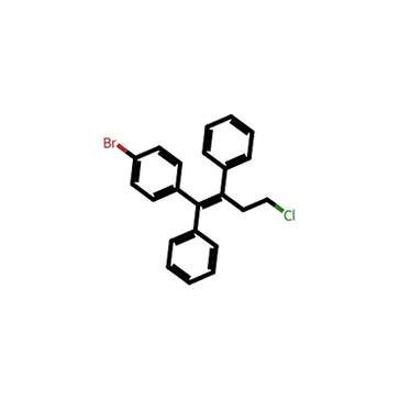 ClCC/C(=C(\c1ccccc1)c1ccc(Br)cc1)c1ccccc1